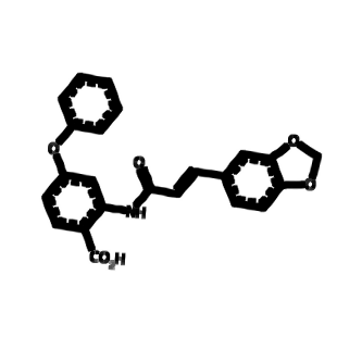 O=C(/C=C/c1ccc2c(c1)OCO2)Nc1cc(Oc2ccccc2)ccc1C(=O)O